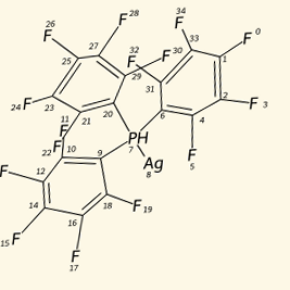 Fc1c(F)c(F)c([PH]([Ag])(c2c(F)c(F)c(F)c(F)c2F)c2c(F)c(F)c(F)c(F)c2F)c(F)c1F